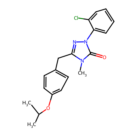 CC(C)Oc1ccc(Cc2nn(-c3ccccc3Cl)c(=O)n2C)cc1